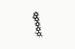 Cc1ccc(C)c(-c2ccc(-c3ccc(-c4ccc(-c5ccccc5C)c(C)c4)cc3)cc2)c1